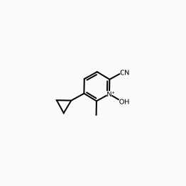 Cc1c(C2CC2)ccc(C#N)[n+]1O